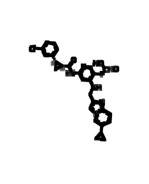 O=C(Nc1cc(NCc2cn3cc(C4CC4)ccc3n2)c(F)cn1)[C@H]1C[C@@H]1c1cccc(Cl)c1.O=CO